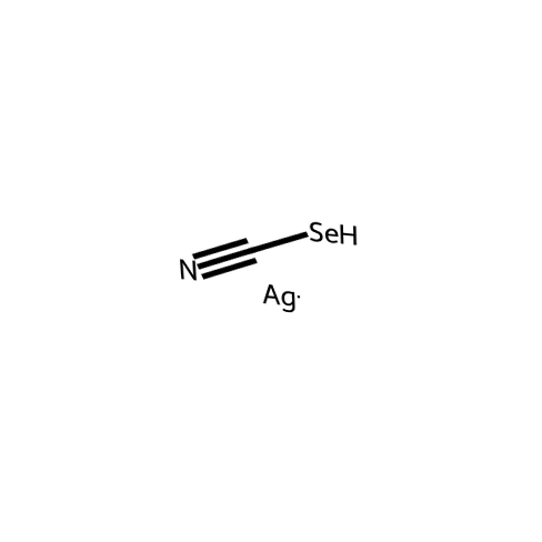 N#C[SeH].[Ag]